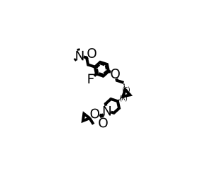 CN(C)C(=O)Cc1ccc(OCC[C@@H]2C[C@@H]2C2CCN(C(=O)OC3(C)CC3)CC2)cc1F